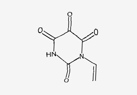 C=CN1C(=O)NC(=O)C(=O)C1=O